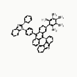 Bc1c(B)c(B)c(-c2ccc3c(-c4ccc(-n5c(-c6ccccc6)nc6ccccc65)cc4)c4ccccc4c(-c4cccc5sc6ccccc6c45)c3c2)c(B)c1B